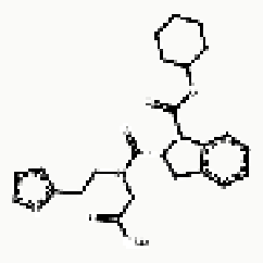 COC(=O)CN(CCc1cccs1)C(=O)[C@H]1Cc2ccccc2N1C(=O)OC1CCCCC1